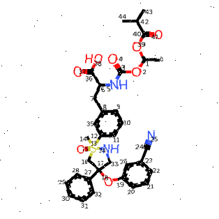 CC(OC(=O)NC(Cc1cccc(S2(C)(=O)CC(Oc3cccc(C#N)c3)(c3ccccc3)CN2)c1)C(=O)O)OC(=O)C(C)C